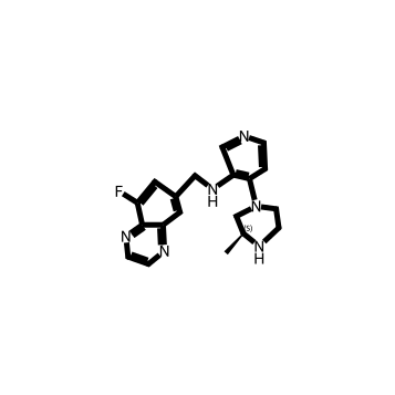 C[C@H]1CN(c2ccncc2NCc2cc(F)c3nccnc3c2)CCN1